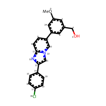 COc1cc(CO)cc(-c2ccc3nc(-c4ccc(Cl)cc4)cn3c2)c1